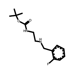 CC(C)(C)OC(=O)NCCNCc1ccccc1F